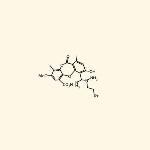 COc1cc(C(=O)O)c2c(c1C)OC(=O)c1c(C)cc(O)c(C(N)N(N)CCC(C)C)c1O2